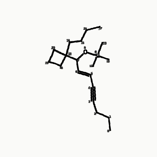 CCCC#C/[C]=C/C(O[Si](C)(C)C)C1(CCCC)CCC1